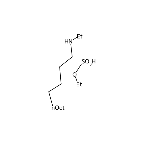 CCCCCCCCCCCCNCC.CCOS(=O)(=O)O